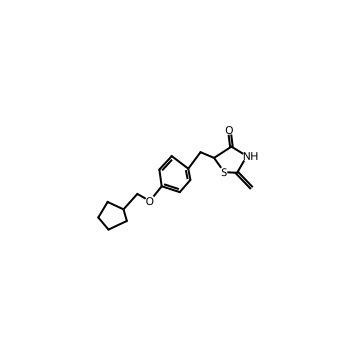 C=C1NC(=O)C(Cc2ccc(OCC3CCCC3)cc2)S1